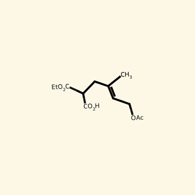 CCOC(=O)C(CC(C)=CCOC(C)=O)C(=O)O